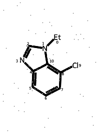 CCn1[c]nc2cccc(Cl)c21